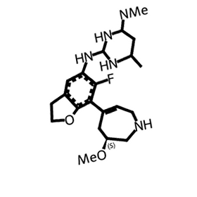 CNC1CC(C)NC(Nc2cc3c(c(C4=CCNC[C@@H](OC)C4)c2F)OCC3)N1